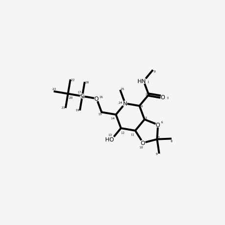 CNC(=O)C1C2OC(C)(C)OC2C(O)C(CO[Si](C)(C)C(C)(C)C)N1C